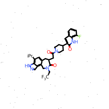 CC(C)c1cc2c(c3cn[nH]c13)CN(CC(F)(F)F)C(=O)C(CC(=O)N1CCC(c3cc4cccc(F)c4[nH]c3=O)CC1)C2